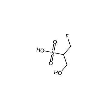 O=S(=O)(O)C(CO)CF